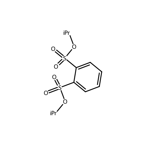 CC(C)OS(=O)(=O)c1ccccc1S(=O)(=O)OC(C)C